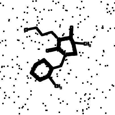 Cc1ccccc1Cn1cc(C)c(=O)n(CCCCl)c1=O